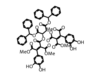 COC(=O)C(C(=O)O[C@@H](C(=O)OC(c1ccccc1)c1ccccc1)[C@@H](OC(=O)C(C(=O)OC)=C(C(=O)OC)c1ccc(O)c(O)c1)C(=O)OC(c1ccccc1)c1ccccc1)=C(C(=O)OC)c1ccc(O)c(O)c1